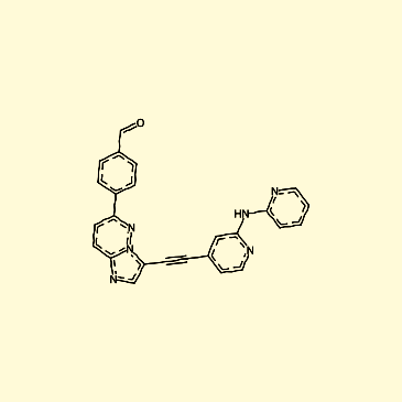 O=Cc1ccc(-c2ccc3ncc(C#Cc4ccnc(Nc5ccccn5)c4)n3n2)cc1